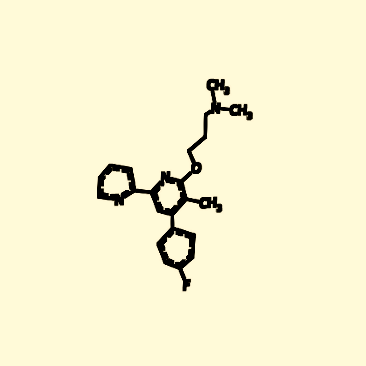 Cc1c(-c2ccc(F)cc2)cc(-c2ccccn2)nc1OCCCN(C)C